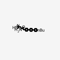 CCCCc1ccc(-c2ccc(-c3ccc(CC(=O)[C@@H](N)Cc4c[nH]cn4)cc3)cc2)cc1